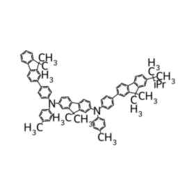 Cc1ccc(N(c2ccc(-c3ccc4c(c3)C(C)(C)c3ccccc3-4)cc2)c2ccc3c(c2)C(C)(C)c2cc(N(c4ccc(C)cc4)c4ccc(-c5ccc6c(c5)C(C)(C)c5cc(C(C)(C)C(C)C)ccc5-6)cc4)ccc2-3)cc1